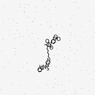 CC1=C(CCCCCCN2CCN(C(=S)NCc3ccccc3)CC2)C(=O)N(c2ccc3c(c2)COC3=O)C1=O